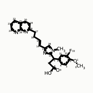 COc1ccc(C(CC(=O)O)c2nc(C=CCCc3ccc4cccnc4n3)cn2C)cc1F